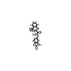 Cn1c(=O)oc2ccc(CNC(=O)c3nc4ccccc4c(=O)[nH]3)cc21